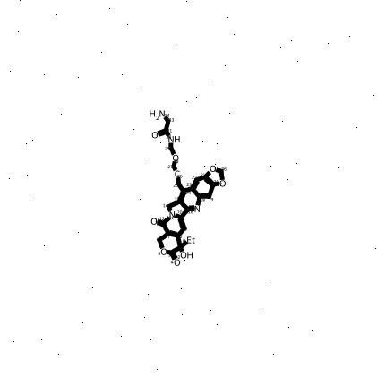 CCC1(O)C(=O)OCc2c1cc1n(c2=O)Cc2c-1nc1cc3c(cc1c2CCCOCNC(=O)CN)OCO3